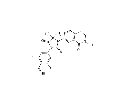 CN1CCc2ccc(N3C(=S)N(c4cc(F)c(C=N)c(F)c4)C(=O)C3(C)C)cc2C1=O